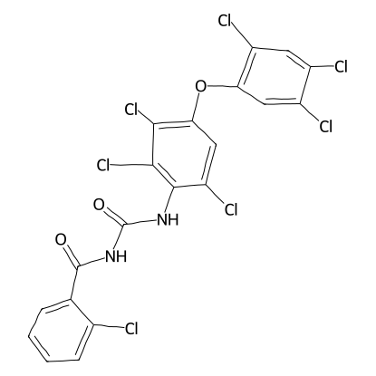 O=C(NC(=O)c1ccccc1Cl)Nc1c(Cl)cc(Oc2cc(Cl)c(Cl)cc2Cl)c(Cl)c1Cl